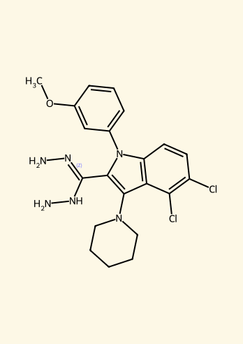 COc1cccc(-n2c(/C(=N/N)NN)c(N3CCCCC3)c3c(Cl)c(Cl)ccc32)c1